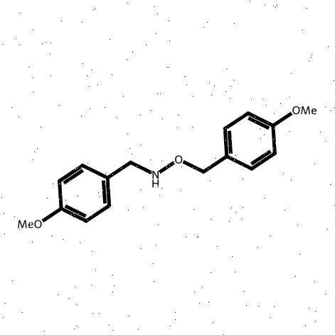 COc1ccc(CNOCc2ccc(OC)cc2)cc1